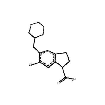 O=C(O)C1CCc2cc(CC3CCCCC3)c(Cl)cc21